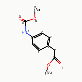 CCCCOC(=O)Cc1ccc(NC(=O)OC(C)(C)C)cc1